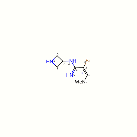 CN/C=C(/Br)C(=N)NC1CNC1